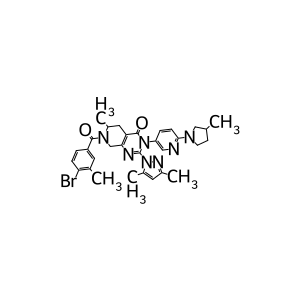 Cc1cc(C)n(-c2nc3c(c(=O)n2-c2ccc(N4CCC(C)C4)nc2)CC(C)N(C(=O)c2ccc(Br)c(C)c2)C3)n1